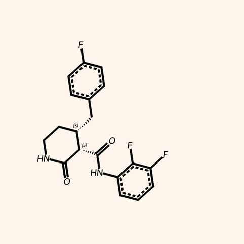 O=C1NCC[C@H](Cc2ccc(F)cc2)[C@@H]1C(=O)Nc1cccc(F)c1F